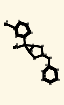 CCCC1(c2cccc(Br)c2)C2CN(Cc3ccccc3)CC21